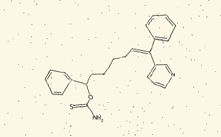 NC(=S)OC(CCCCC=C(c1ccccc1)c1cccnc1)c1ccccc1